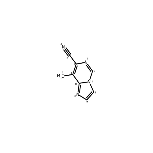 Cc1c(C#N)ncn2ccnc12